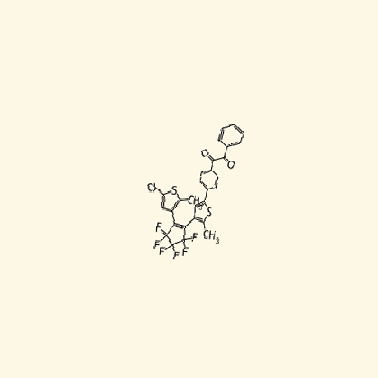 Cc1sc(Cl)cc1C1=C(c2cc(-c3ccc(C(=O)C(=O)c4ccccc4)cc3)sc2C)C(F)(F)C(F)(F)C1(F)F